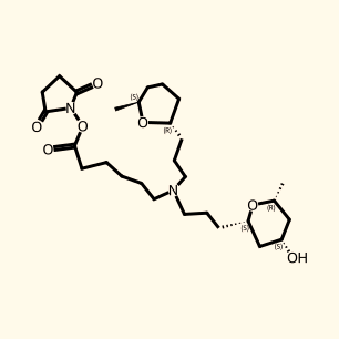 C[C@@H]1C[C@H](O)C[C@H](CCCN(CCCCCC(=O)ON2C(=O)CCC2=O)CCC[C@H]2CCC[C@H](C)O2)O1